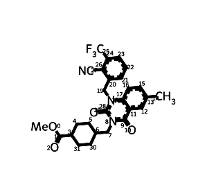 COC(=O)C1CCC(Cn2c(=O)c3cc(C)ccc3n(Cc3cccc(C(F)(F)F)c3C#N)c2=O)CC1